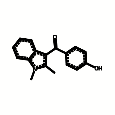 Cc1c(C(=O)c2ccc(O)cc2)c2ccccc2n1C